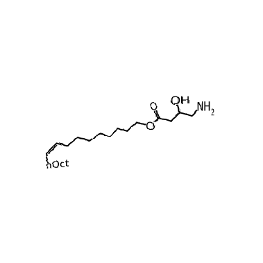 CCCCCCCC/C=C\CCCCCCCCOC(=O)CC(O)CN